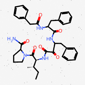 CC[C@H](C)[C@H](NC(=O)C(=O)C(Cc1ccccc1)NC(=O)C(Cc1ccccc1)NC(=O)Cc1ccccc1)C(=O)N1CCCC1C(N)=O